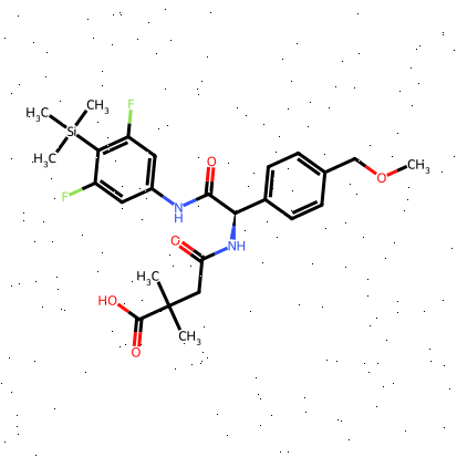 COCc1ccc([C@@H](NC(=O)CC(C)(C)C(=O)O)C(=O)Nc2cc(F)c([Si](C)(C)C)c(F)c2)cc1